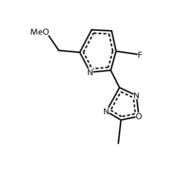 COCc1ccc(F)c(-c2noc(C)n2)n1